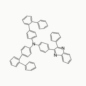 c1ccc(-c2ccccc2-c2ccc(N(c3ccc(-c4ccccc4-c4ccccc4)cc3)c3ccc(-c4nc5ccccc5nc4-c4ccccc4)cc3)cc2)cc1